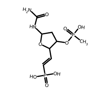 CP(=O)(O)OC1CC(NC(N)=O)OC1/C=C/P(=O)(O)O